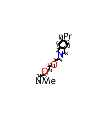 CCCc1ccc2c(c1)CN(CCOCCOCCNC)C2